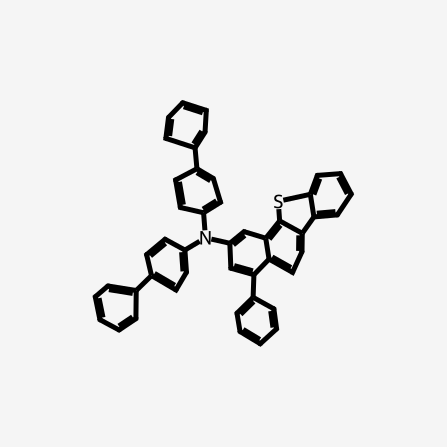 c1ccc(-c2ccc(N(c3ccc(-c4ccccc4)cc3)c3cc(-c4ccccc4)c4ccc5c6ccccc6sc5c4c3)cc2)cc1